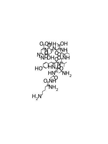 CC(C)[C@H](NC(=O)[C@H](Cc1ccc(O)cc1)NC(=O)[C@H](CC(N)=O)NC(=O)CNC(=O)[C@@H](N)CCCCN)C(=O)N[C@H](C(=O)N[C@H](C(=O)N[C@@H](CC(=O)O)C(=O)N[C@@H](Cc1c[nH]cn1)C(=O)O)[C@@H](C)O)C(C)C